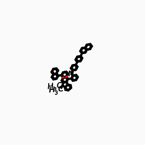 CC1(C)c2ccccc2-c2c(-c3ccccc3N(c3ccc(-c4ccc(-c5ccc6ccccc6c5)cc4)cc3)c3ccc(-c4cccc5ccccc45)cc3)cccc21